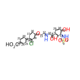 CS(=O)(=O)Nc1cc([C@@H](O)CNCCOc2ccc(-c3ccc(C(=O)O)cc3)c(Cl)c2)ccc1O